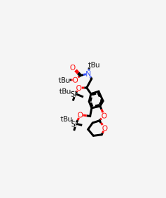 CC(C)(C)OC(=O)N(CC(O[Si](C)(C)C(C)(C)C)c1ccc(OC2CCCCO2)c(CO[Si](C)(C)C(C)(C)C)c1)C(C)(C)C